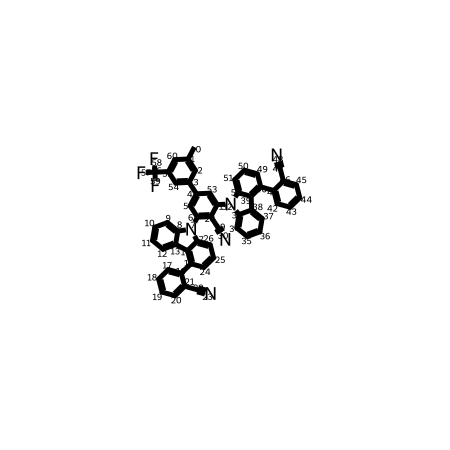 Cc1cc(-c2cc(-n3c4ccccc4c4c(-c5ccccc5C#N)cccc43)c(C#N)c(-n3c4ccccc4c4c(-c5ccccc5C#N)cccc43)c2)cc(C(F)(F)F)c1